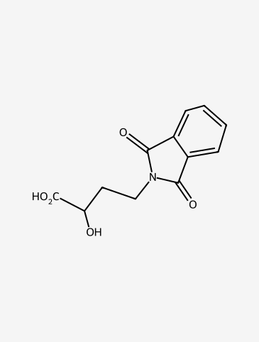 O=C(O)C(O)CCN1C(=O)c2ccccc2C1=O